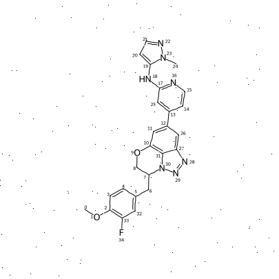 COc1ccc(CC2COc3cc(-c4ccnc(Nc5ccnn5C)c4)cc4nnn2c34)cc1F